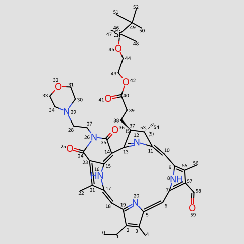 CCC1=C(C)c2cc3[nH]c(cc4nc(c5c6[nH]c(cc1n2)c(C)c6C(=O)N(CCN1CCOCC1)C5=O)[C@@H](CCC(=O)OCCO[Si](C)(C)C(C)(C)C)[C@@H]4C)c(C)c3C=O